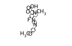 COc1ccc(CN2CCN(c3c(F)cc4c(=O)c(C(=O)O)cn5c4c3CCC5C)CC2)cc1